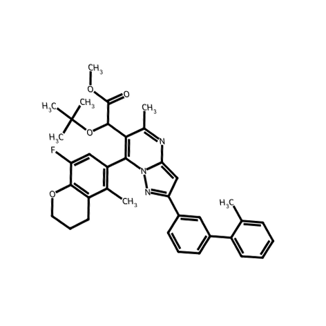 COC(=O)C(OC(C)(C)C)c1c(C)nc2cc(-c3cccc(-c4ccccc4C)c3)nn2c1-c1cc(F)c2c(c1C)CCCO2